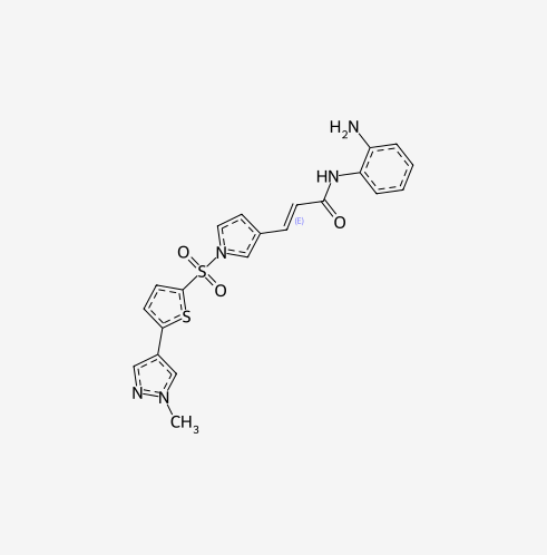 Cn1cc(-c2ccc(S(=O)(=O)n3ccc(/C=C/C(=O)Nc4ccccc4N)c3)s2)cn1